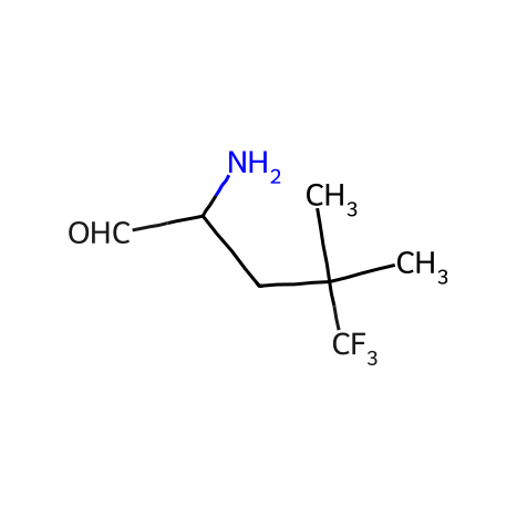 CC(C)(CC(N)C=O)C(F)(F)F